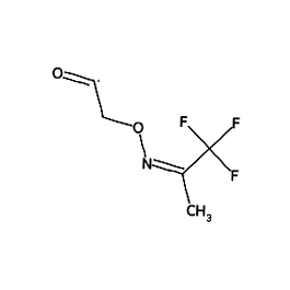 CC(=NOC[C]=O)C(F)(F)F